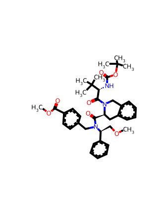 COC[C@@H](c1ccccc1)N(Cc1ccc(C(=O)OC)cc1)C(=O)[C@@H]1Cc2ccccc2CN1C(=O)[C@@H](NC(=O)OC(C)(C)C)C(C)(C)C